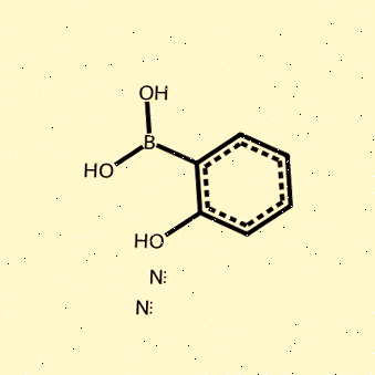 OB(O)c1ccccc1O.[N].[N]